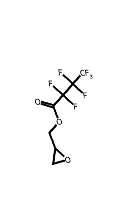 O=C(OCC1CO1)C(F)(F)C(F)(F)C(F)(F)F